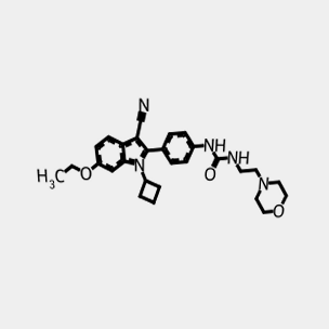 CCOc1ccc2c(C#N)c(-c3ccc(NC(=O)NCCN4CCOCC4)cc3)n(C3CCC3)c2c1